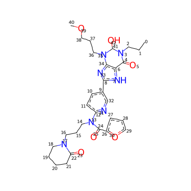 CCCN1C(=O)c2[nH]c(-c3ccc(N(CCCN4CCCCC4=O)C(=O)c4ccco4)nc3)nc2N(CCCOC)C1O